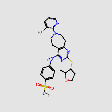 CC1OCCC1Sc1nc2c(c(Nc3ccc(S(=O)(=O)C(F)(F)F)cc3)n1)CCN(c1ncccc1C(F)(F)F)CC2